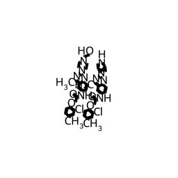 Cc1ccc(OCC(=O)Nc2ccc3nc(N4CC5CC4CN5)nc(C)c3c2)c(Cl)c1.Cc1ccc(OCC(=O)Nc2ccc3nc(N4CCN(CCO)CC4)nc(C)c3c2)c(Cl)c1